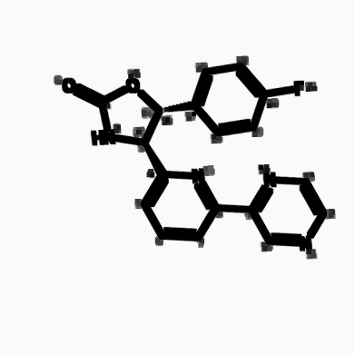 O=C1N[C@H](c2cccc(-c3cnccn3)n2)[C@@H](c2ccc(F)cc2)O1